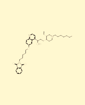 CCCCCCCN1CC[C@@H](CCC(O)c2ccnc3ccc(OCCCCCN4C(=O)c5ccccc5C4=O)cc23)[C@@H](CC)C1